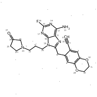 C#Cc1cc2c(cc1Cc1nc3c(N)nc(F)nc3n1CCCN1CCC(=O)C1)OCCO2